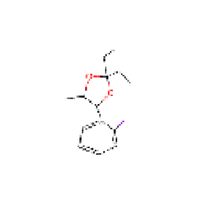 CCC1(CC)OC(C)C(c2ccccc2I)O1